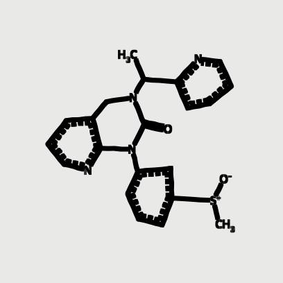 CC(c1ccccn1)N1Cc2cccnc2N(c2cccc([S+](C)[O-])c2)C1=O